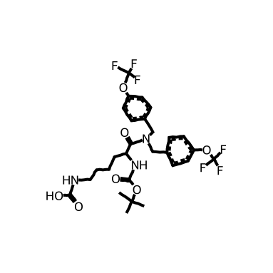 CC(C)(C)OC(=O)NC(CCCCNC(=O)O)C(=O)N(Cc1ccc(OC(F)(F)F)cc1)Cc1ccc(OC(F)(F)F)cc1